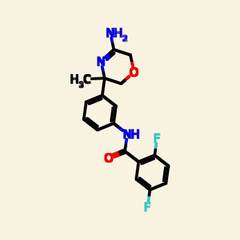 CC1(c2cccc(NC(=O)c3cc(F)ccc3F)c2)COCC(N)=N1